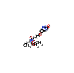 CCCCCCN(C(=O)CCCCCCOc1ccc2c(c1)CN1CC(=O)NC1=N2)C(CC)OC(C)=O